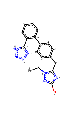 CC(C)Cn1nc(O)nc1Cc1ccc(-c2ccccc2-c2nnn[nH]2)cc1